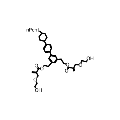 C=C(COCCO)C(=O)OCCc1cc(CCOC(=O)C(=C)COCCO)cc(-c2ccc(C3CCC(CCCCC)CC3)cc2)c1